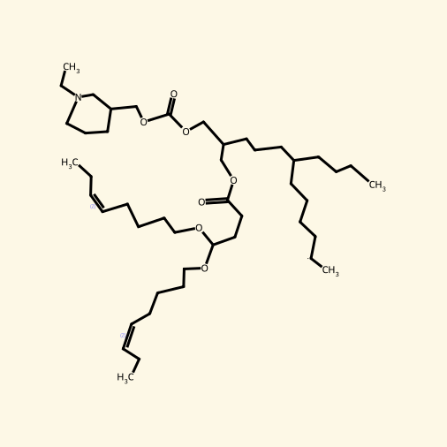 C[CH]CCCCC(CCCC)CCCC(COC(=O)CCC(OCCCC/C=C\CC)OCCCC/C=C\CC)COC(=O)OCC1CCCN(CC)C1